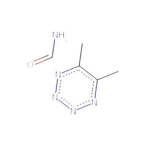 Cc1nnnnc1C.NC=O